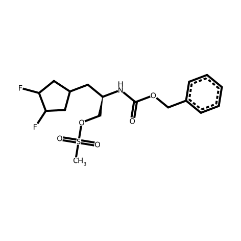 CS(=O)(=O)OC[C@@H](CC1CC(F)C(F)C1)NC(=O)OCc1ccccc1